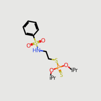 CC(C)OP(=S)(OC(C)C)SCCNS(=O)(=O)c1ccccc1